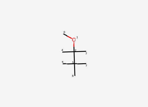 COC(C)(C)C(C)(C)C